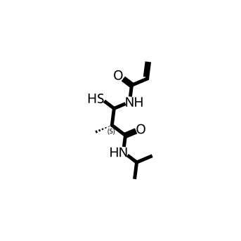 C=CC(=O)NC(S)[C@@H](C)C(=O)NC(C)C